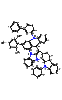 CC(C)c1cc(C(C)C)c(-c2cc3c4c(c2)-n2c5ccccc5n5c6c(ccc7c8ccccc8n(-c8ccccc8)c76)c(c25)B4c2ccccc2N3c2cccc(-c3ccccc3)c2)c(C(C)C)c1